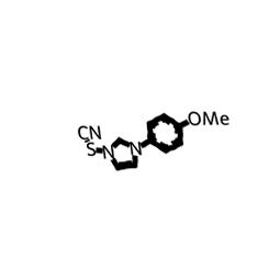 COc1ccc(N2C=CN(SC#N)C2)cc1